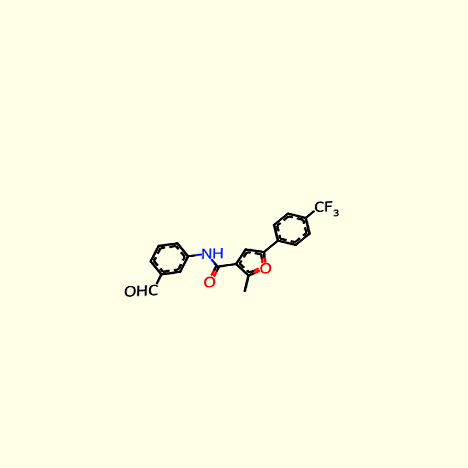 Cc1oc(-c2ccc(C(F)(F)F)cc2)cc1C(=O)Nc1cccc(C=O)c1